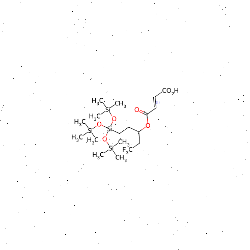 C[Si](C)(C)O[Si](CCC(CC(F)(F)F)OC(=O)/C=C/C(=O)O)(O[Si](C)(C)C)O[Si](C)(C)C